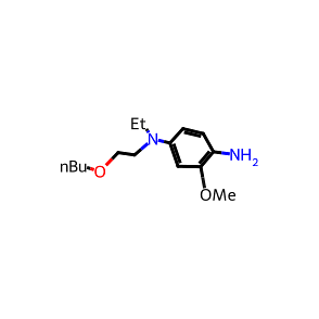 CCCCOCCN(CC)c1ccc(N)c(OC)c1